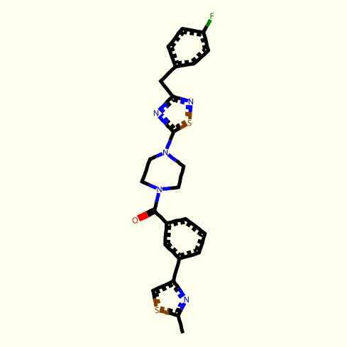 Cc1nc(-c2cccc(C(=O)N3CCN(c4nc(Cc5ccc(F)cc5)ns4)CC3)c2)cs1